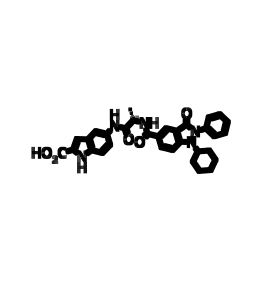 C[C@H](NC(=O)c1ccc2c(c1)c(=O)n(-c1ccccc1)n2C1CCCCC1)C(=O)Nc1ccc2[nH]c(C(=O)O)cc2c1